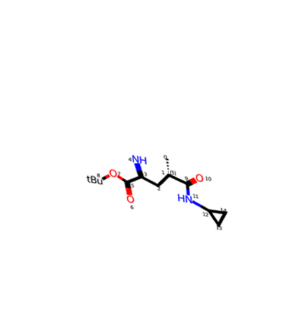 C[C@@H](CC(=N)C(=O)OC(C)(C)C)C(=O)NC1CC1